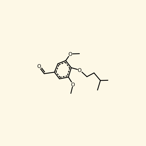 COc1cc(C=O)cc(OC)c1OCCC(C)C